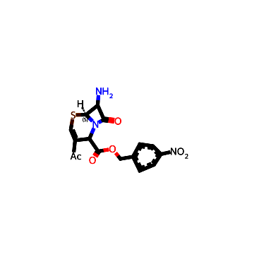 CC(=O)C1=CS[C@H]2C(N)C(=O)N2C1C(=O)OCc1ccc([N+](=O)[O-])cc1